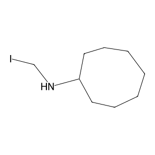 ICNC1CCCCCCC1